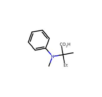 CCC(C)(C(=O)O)N(C)c1ccccc1